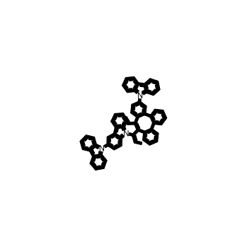 C=C/C1=C(\C(=C/C)n2c3ccccc3c3cc(-n4c5ccccc5c5ccccc54)ccc32)c2ccccc2-c2ccccc2-c2cc(-n3c4ccccc4c4ccccc43)ccc21